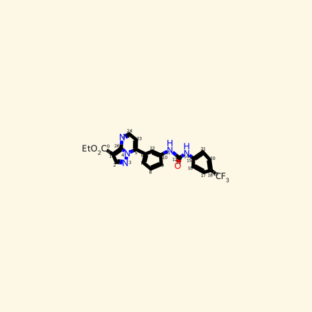 CCOC(=O)c1cnn2c(-c3cccc(NC(=O)Nc4ccc(C(F)(F)F)cc4)c3)ccnc12